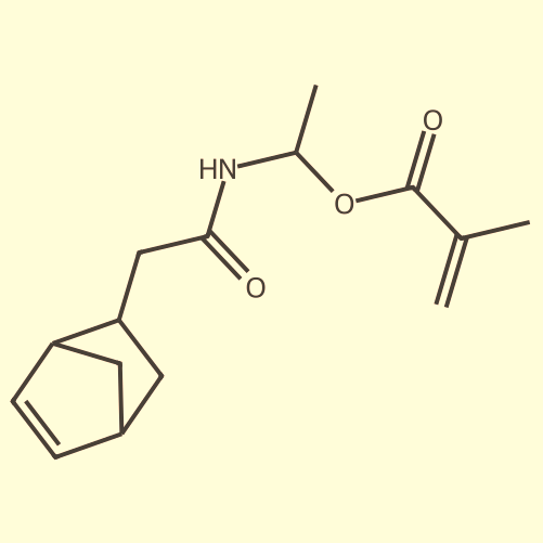 C=C(C)C(=O)OC(C)NC(=O)CC1CC2C=CC1C2